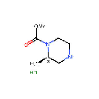 COC(=O)N1CCNC[C@H]1C.Cl